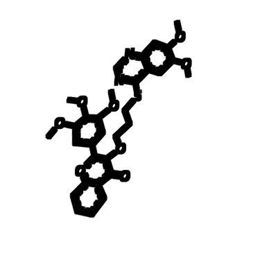 COc1cc2ncnc(SCCCOc3c(-c4cc(OC)c(OC)c(OC)c4)oc4ccccc4c3=O)c2cc1OC